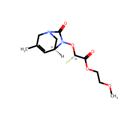 COCCOC(=O)[C@H](F)ON1C(=O)N2CC(C)=C[C@H]1C2